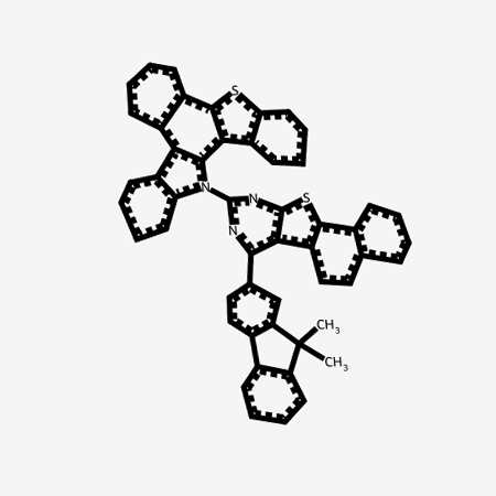 CC1(C)c2ccccc2-c2ccc(-c3nc(-n4c5ccccc5c5c6ccccc6c6sc7ccccc7c6c54)nc4sc5c6ccccc6ccc5c34)cc21